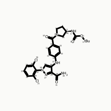 CC(C)(C)OC(=O)N[C@@H]1CCN(C(=O)c2ccc(Nc3cn(-c4c(Cl)cccc4Cl)nc3C(N)=O)cc2)C1